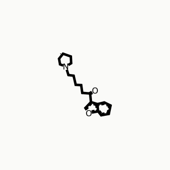 O=C(CCCCCN1CC[CH]CC1)c1coc2ccccc12